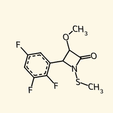 COC1C(=O)N(SC)C1c1cc(F)cc(F)c1F